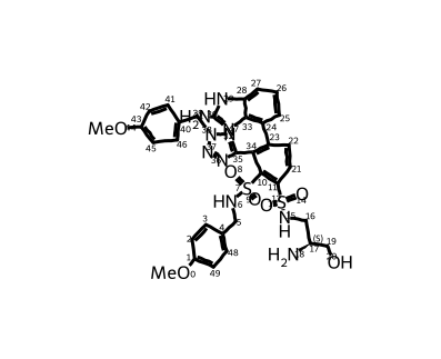 COc1ccc(CNS(=O)(=O)c2c(S(=O)(=O)NC[C@H](N)CO)ccc(-c3cccc4[nH]c(N)nc34)c2-c2nnn(Cc3ccc(OC)cc3)n2)cc1